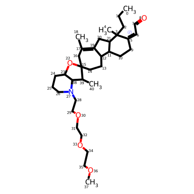 CCCC1(C)/C(=C\C=O)CCC2C3CCC4(CC(C)=C3CC21)OC1CCCN(CCOCCOCCOC)C1C4C